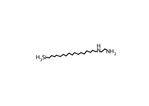 NCCNCCCCCCCCCCCCCCCCC[SiH3]